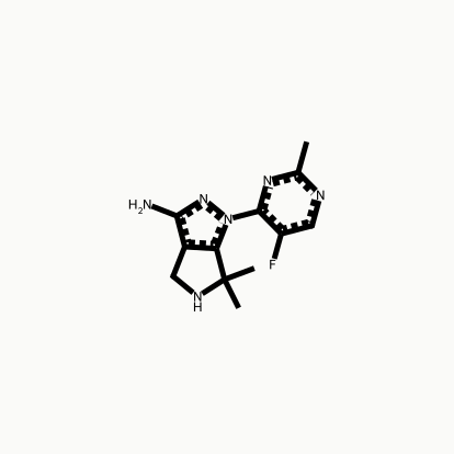 Cc1ncc(F)c(-n2nc(N)c3c2C(C)(C)NC3)n1